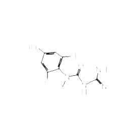 CCCc1cc(Cl)c(N(C)C(=O)NC(=N)N)c(Cl)c1